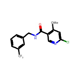 COc1cc(Cl)ncc1C(=O)NCc1cccc(C(F)(F)F)c1